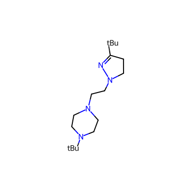 CC(C)(C)C1=NN(CCN2CCN(C(C)(C)C)CC2)CC1